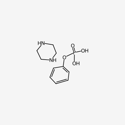 C1CNCCN1.O=P(O)(O)Oc1ccccc1